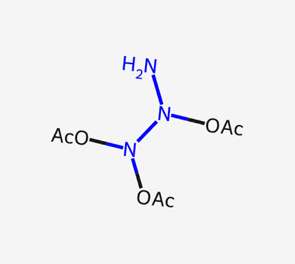 CC(=O)ON(N)N(OC(C)=O)OC(C)=O